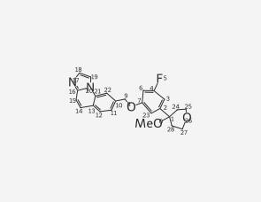 COC1(c2cc(F)cc(OCc3ccc4ccc5nccn5c4c3)c2)CCOCC1